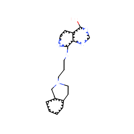 Oc1ncnc2c(NCCCN3CCc4ccccc4C3)nccc12